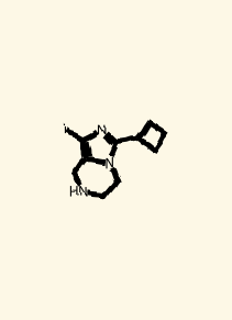 Ic1nc(C2CCC2)n2c1CNCC2